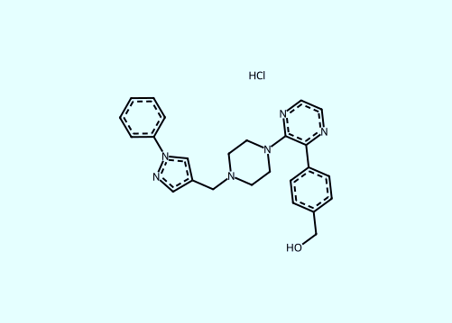 Cl.OCc1ccc(-c2nccnc2N2CCN(Cc3cnn(-c4ccccc4)c3)CC2)cc1